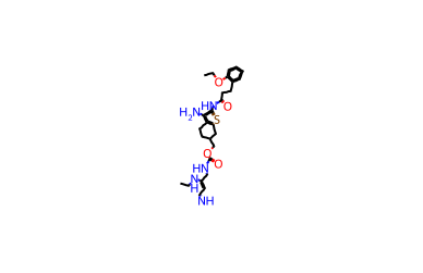 CCN/C(=C\C=N)CNC(=O)OCC1CCc2c(sc(NC(=O)CCc3ccccc3OCC)c2N)C1